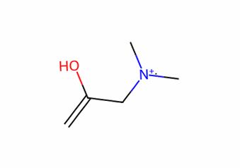 C=C(O)C[N+](C)C